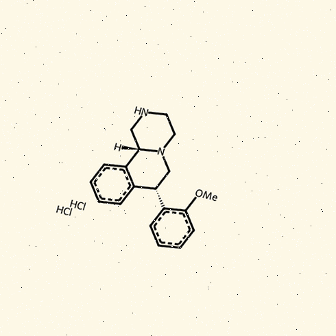 COc1ccccc1[C@H]1CN2CCNC[C@H]2c2ccccc21.Cl.Cl